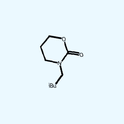 CCC(C)CN1CCCOC1=O